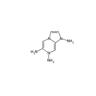 NC1=CN2C=CN(N)C2=CN1N